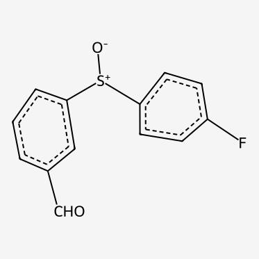 O=Cc1cccc([S+]([O-])c2ccc(F)cc2)c1